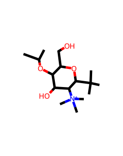 CC(C)OC1C(CO)OC(C(C)(C)C)C([N+](C)(C)C)C1O